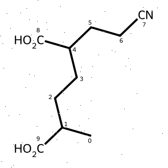 CC(CCC(CCC#N)C(=O)O)C(=O)O